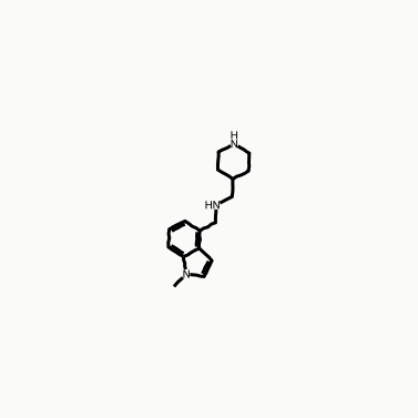 Cn1ccc2c(CNCC3CCNCC3)cccc21